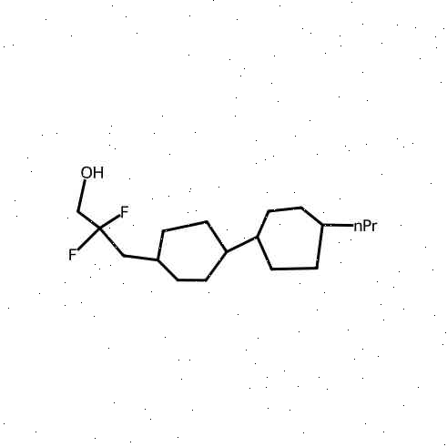 CCCC1CCC(C2CCC(CC(F)(F)CO)CC2)CC1